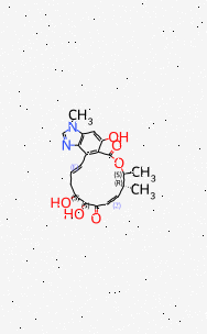 C[C@@H]1/C=C\C(=O)[C@@H](O)[C@@H](O)C/C=C/c2c(c(O)cc3c2ncn3C)C(=O)O[C@H]1C